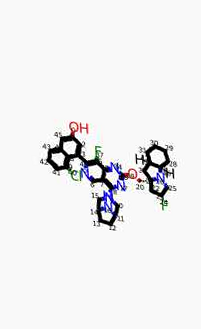 Oc1cc(-c2ncc3c(N4CC5CCC(C4)N5)nc(OC[C@@]45C[C@@H](F)CN4[C@@H]4CCCC[C@@H]4C5)nc3c2F)c2c(Cl)cccc2c1